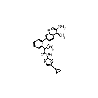 C=C(C(N)=O)c1ccc(-c2ccccc2C(C)C(=O)Nc2ncc(C3CC3)s2)cc1F